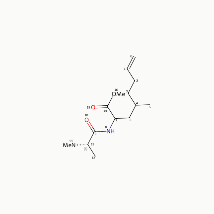 C=CCCC(C)CC(NC(=O)[C@H](C)NC)C(=O)OC